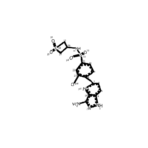 Nc1n[nH]c2ccc(-c3ccc(S(=O)(=O)NC4CS(=O)(=O)C4)cc3Cl)nc12